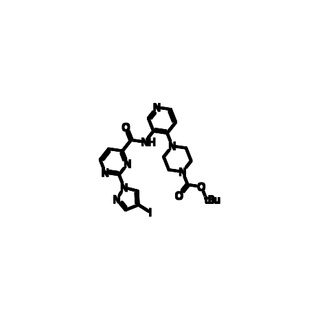 CC(C)(C)OC(=O)N1CCN(c2ccncc2NC(=O)c2ccnc(-n3cc(I)cn3)n2)CC1